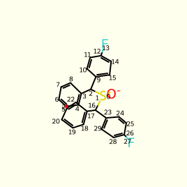 [O-][S+](C(c1ccccc1)c1ccc(F)cc1)C(c1ccccc1)c1ccc(F)cc1